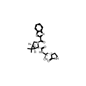 CC1(C)[C@@H]2[C@@H](C(=O)N[C@H](C#N)C[C@@H]3CCNC3=O)N(C(=O)c3nc4ccccc4s3)C[C@@H]21